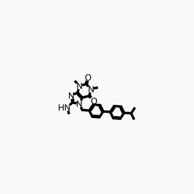 CNc1nc2c(c(=O)n(C)c(=O)n2C)n1Cc1ccc(-c2ccc(C(C)C)cc2)cc1